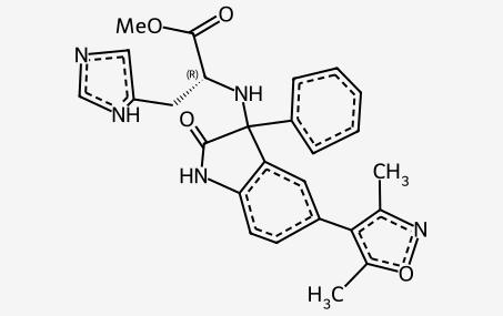 COC(=O)[C@@H](Cc1cnc[nH]1)NC1(c2ccccc2)C(=O)Nc2ccc(-c3c(C)noc3C)cc21